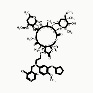 CN[C@H]1C[C@@H](C)O[C@@H](O[C@@H]2[C@@H](C)[C@H](O[C@H]3C[C@@](C)(OC)[C@@H](O)[C@H](C)O3)[C@@H](C)C(=O)O[C@H](I)[C@@]3(C)OC(=O)[C@@H](SCCN(Cc4c(Cl)cncc4Cl)c4ccc(OC)c(OC5CCCC5)c4)[C@@H]3[C@@H](C)C(=O)[C@H](C)C[C@@]2(C)OC)[C@@H]1O